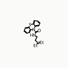 CCN(CC)CCNC(=O)N1c2ccccc2Sc2ccccc21